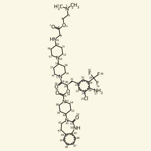 CN(C)CCOC(=O)CNC1CCN(C2CCN(C(=O)[C@@H](Cc3cc(Cl)c(N)c(C(F)(F)F)c3)OC(=O)N3CCC(N4CCc5ccccc5NC4=O)CC3)CC2)CC1